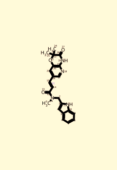 CN(Cc1cc2ccccc2[nH]1)C(=O)/C=C/c1cnc2c(c1)OC(C)(C)C(=O)N2